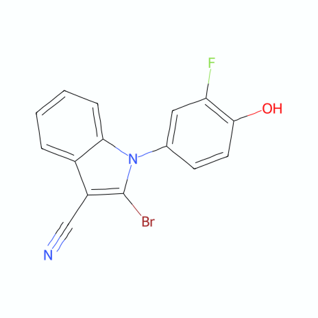 N#Cc1c(Br)n(-c2ccc(O)c(F)c2)c2ccccc12